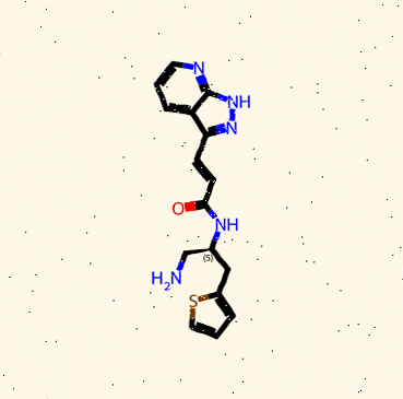 NC[C@H](Cc1cccs1)NC(=O)C=Cc1n[nH]c2ncccc12